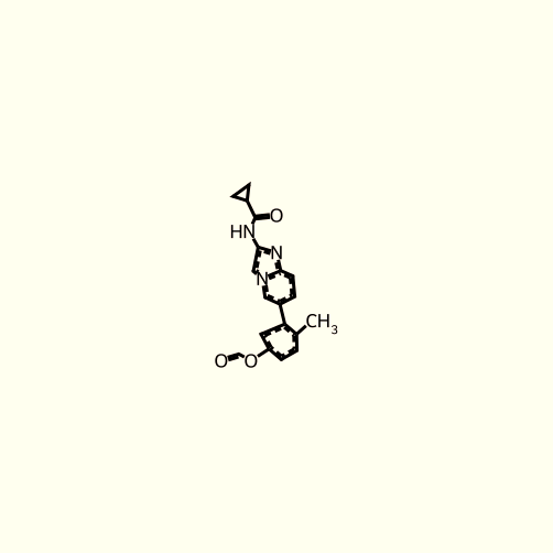 Cc1ccc(OC=O)cc1-c1ccc2nc(NC(=O)C3CC3)cn2c1